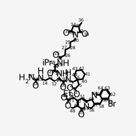 CC[C@@]1(OC(=O)CC2(CNC(=O)[C@@H](CCCNC(N)=O)NC(=O)[C@@H](NC(=O)CCCCCN3C(=O)CC(C)C3=O)C(C)C)CCCCC2)C(=O)OCc2c1cc1n(c2=O)Cc2cc3c(Br)cccc3nc2-1